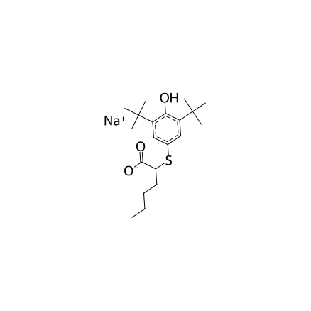 CCCCC(Sc1cc(C(C)(C)C)c(O)c(C(C)(C)C)c1)C(=O)[O-].[Na+]